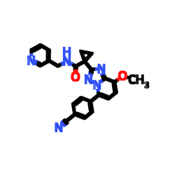 COc1ccc(-c2ccc(C#N)cc2)n2nc(C3(C(=O)NCc4cccnc4)CC3)nc12